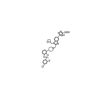 CSc1nnc(-c2ccc3c(c2)nc(CN2CCC(c4cccc5c4OC(C)(c4ccc(Cl)cc4F)O5)CC2)n3C[C@@H]2CCO2)[nH]1